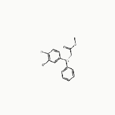 COC(=O)C[C@H](c1ccccc1)c1ccc(Cl)c(Cl)c1